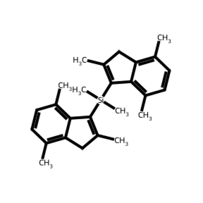 CC1=C([Si](C)(C)C2=C(C)[CH]c3c(C)ccc(C)c32)c2c(C)ccc(C)c2[CH]1